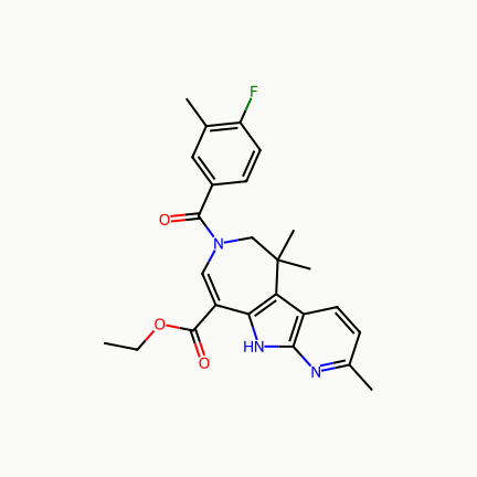 CCOC(=O)C1=CN(C(=O)c2ccc(F)c(C)c2)CC(C)(C)c2c1[nH]c1nc(C)ccc21